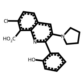 O=C(O)c1c(Cl)ccc2cc(N3CCCC3)c(-c3ccccc3O)nc12